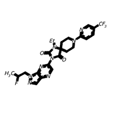 CCN1C(=O)N(c2cnc3cnn(CC(C)F)c3n2)C(=O)C12CCN(c1ccc(C(F)(F)F)cn1)CC2